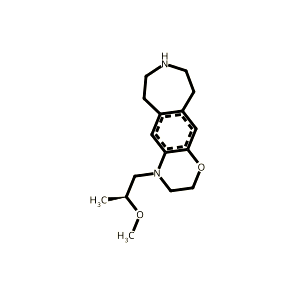 CO[C@@H](C)CN1CCOc2cc3c(cc21)CCNCC3